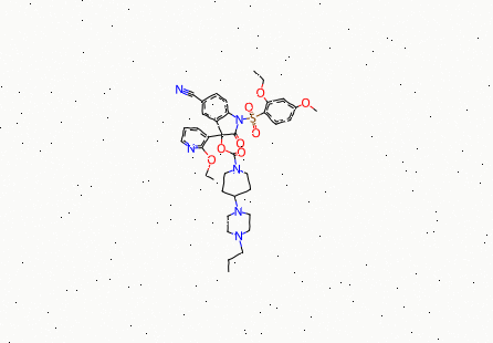 CCCN1CCN(C2CCN(C(=O)OC3(c4cccnc4OCC)C(=O)N(S(=O)(=O)c4ccc(OC)cc4OCC)c4ccc(C#N)cc43)CC2)CC1